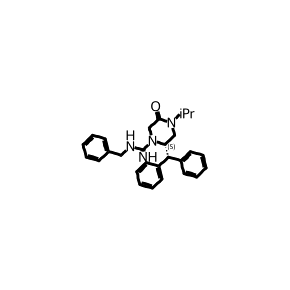 CC(C)N1C[C@H](C(c2ccccc2)c2ccccc2)N(C(=N)NCc2ccccc2)CC1=O